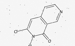 O=c1c2cnccc2cc(Cl)n1Cl